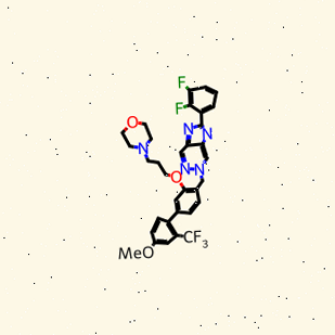 COc1ccc(-c2ccc(Cn3cc4nc(-c5cccc(F)c5F)nc-4cn3)c(OCCCN3CCOCC3)c2)c(C(F)(F)F)c1